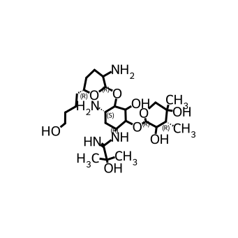 C[C@@H]1C(O)[C@@H](OC2C(O)C(O[C@H]3O[C@H](CCCCO)CCC3N)[C@@H](N)C[C@H]2NC(=N)C(C)(C)O)OCC1(C)O